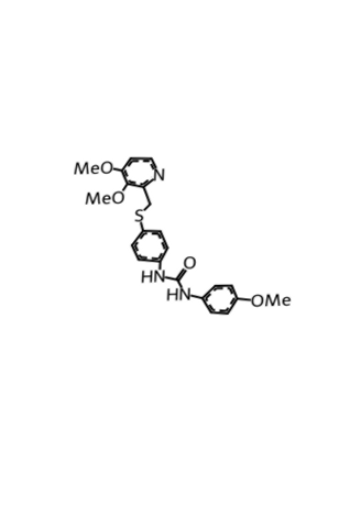 COc1ccc(NC(=O)Nc2ccc(SCc3nccc(OC)c3OC)cc2)cc1